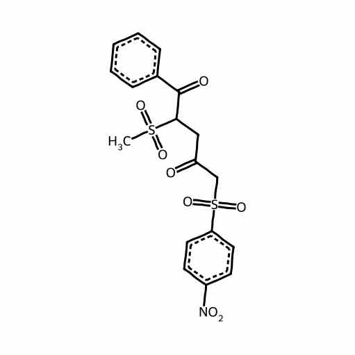 CS(=O)(=O)C(CC(=O)CS(=O)(=O)c1ccc([N+](=O)[O-])cc1)C(=O)c1ccccc1